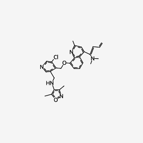 C=C/C=C(/c1cc(C)nc2c(OCc3c(Cl)cncc3CNc3c(C)noc3C)cccc12)N(C)C